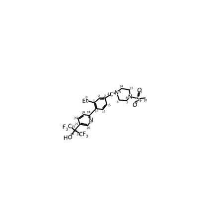 CCc1cc(CN2CCN(S(C)(=O)=O)CC2)ccc1-c1ccc(C(O)(C(F)(F)F)C(F)(F)F)cn1